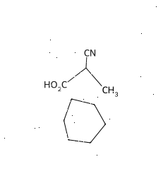 C1CCCCC1.CC(C#N)C(=O)O